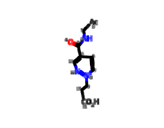 CC(=O)CNC(=O)c1cc[n+](CCC(=O)O)nc1